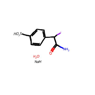 NC(=O)C(I)c1ccc(S(=O)(=O)O)cc1.O.[NaH]